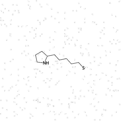 [S]CCCCCC1CCCN1